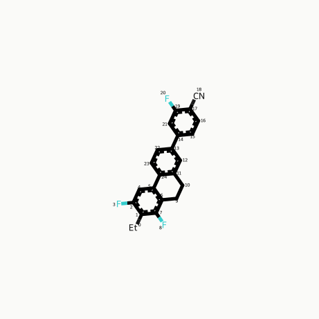 CCc1c(F)cc2c(c1F)CCc1cc(-c3ccc(C#N)c(F)c3)ccc1-2